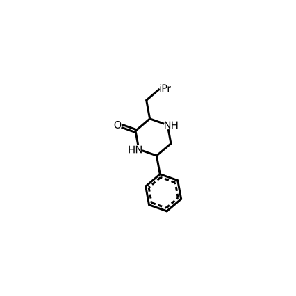 CC(C)CC1NCC(c2ccccc2)NC1=O